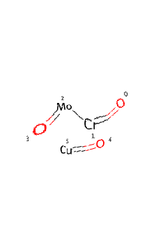 [O]=[Cr][Mo]=[O].[O]=[Cu]